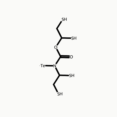 O=C(OC(S)CS)N([Te])C(S)CS